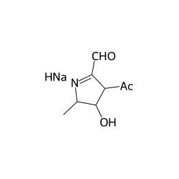 CC(=O)C1C(C=O)=NC(C)C1O.[NaH]